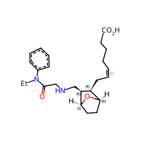 CCN(C(=O)CNC[C@H]1[C@@H](C/C=C\CCCC(=O)O)[C@H]2CC[C@@H]1O2)c1ccccc1